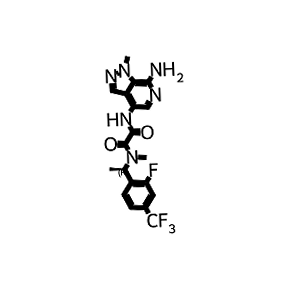 C[C@H](c1ccc(C(F)(F)F)cc1F)N(C)C(=O)C(=O)Nc1cnc(N)c2c1cnn2C